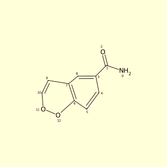 NC(=O)c1ccc2c(c1)C=COO2